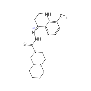 Cc1ccnc2c1NCC/C2=N/NC(=S)N1CCN2CCCCC2C1